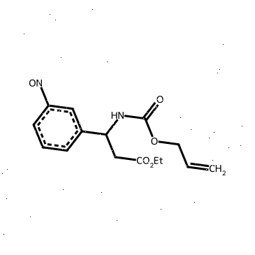 C=CCOC(=O)NC(CC(=O)OCC)c1cccc(N=O)c1